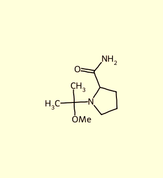 COC(C)(C)N1CCCC1C(N)=O